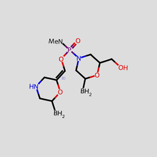 BC1CNC/C(=C\OP(=O)(NC)N2CC(B)OC(CO)C2)O1